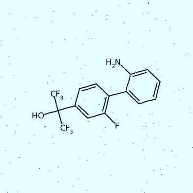 Nc1ccccc1-c1ccc(C(O)(C(F)(F)F)C(F)(F)F)cc1F